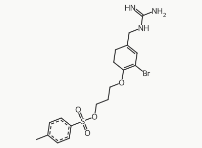 Cc1ccc(S(=O)(=O)OCCCOC2=C(Br)C=C(CNC(=N)N)CC2)cc1